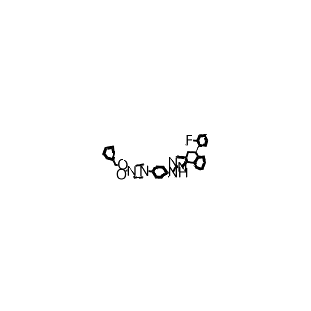 O=C(OCc1ccccc1)N1CCN(c2ccc(Nc3ncc4c(n3)-c3ccccc3[C@H](c3ccccc3F)C4)cc2)CC1